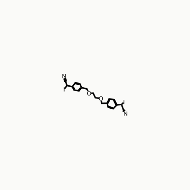 N#CC(I)c1ccc(COCCOCc2ccc(C(I)C#N)cc2)cc1